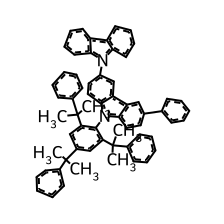 CC(C)(c1ccccc1)c1cc(C(C)(C)c2ccccc2)c(-n2c3ccc(-c4ccccc4)cc3c3cc(-n4c5ccccc5c5ccccc54)ccc32)c(C(C)(C)c2ccccc2)c1